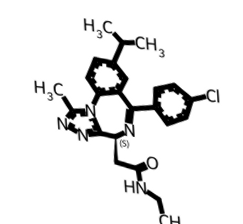 CCNC(=O)C[C@@H]1N=C(c2ccc(Cl)cc2)c2cc(C(C)C)ccc2-n2c(C)nnc21